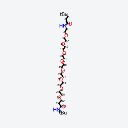 CC(C)(C)CCC(=O)NCCOCCOCCOCCOCCOCCOCCOCCOCCC(=O)NC(C)(C)C